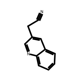 N#CCc1cnc2ccccc2c1